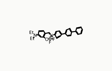 CCN(CC)c1ccc2c(c1)O[B-](F)(F)[N+](c1ccc(-c3ccc(-c4ccccc4)cc3)cc1)=C2